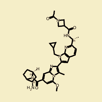 COc1cc(C(=O)N2C3CC[C@H]2C[C@H]3N)cc2nc(-c3cc4ccc([C@@H](C)NC(=O)C5CN(C(C)=O)C5)nc4n3CC3CC3)c(C)n12